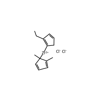 CCC1=[C]([Zr+2][C]2(C)C=CC=C2C)CC=C1.[Cl-].[Cl-]